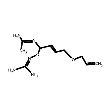 C=CCOC/C=C/C(N=C(N)N)ON=C(N)N